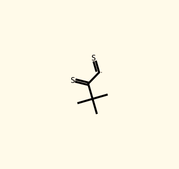 CC(C)(C)C(=S)[C]=S